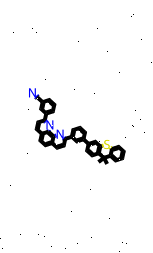 CC1(C)c2ccccc2Sc2cc(-c3cccc(-c4ccc5ccc6ccc(-c7cccc(C#N)c7)nc6c5n4)c3)ccc21